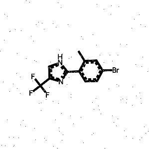 Cc1cc(Br)ccc1-c1nc(C(F)(F)F)c[nH]1